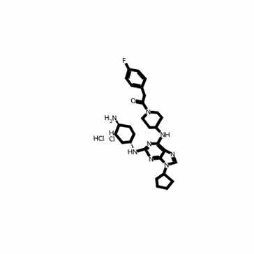 Cl.Cl.N[C@H]1CC[C@H](Nc2nc(NC3CCN(C(=O)Cc4ccc(F)cc4)CC3)c3ncn(C4CCCC4)c3n2)CC1